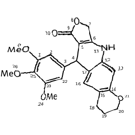 COc1cc(C2C3=C(COC3=O)Nc3cc4c(cc32)CCCO4)cc(OC)c1OC